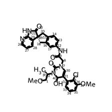 COC[C@@H](C)N1C(=O)N(CC(=O)Nc2ccc3c(c2)C[C@@]2(C3)C(=O)Nc3ncccc32)C=C(c2cccc(OC)c2Cl)C1O